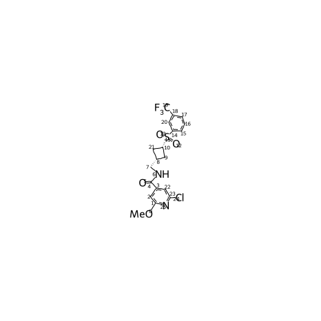 COc1cc(C(=O)NC[C@H]2C[C@@H](S(=O)(=O)c3cccc(C(F)(F)F)c3)C2)cc(Cl)n1